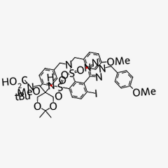 COc1ccc(CN(Cc2ccc(OC)cc2)S(=O)(=O)c2c(S(=O)(=O)NC3(CN(C(=O)O)C(C)(C)C)COC(C)(C)OC3)ccc(I)c2-c2nnn(Cc3ccc(OC)cc3)n2)cc1